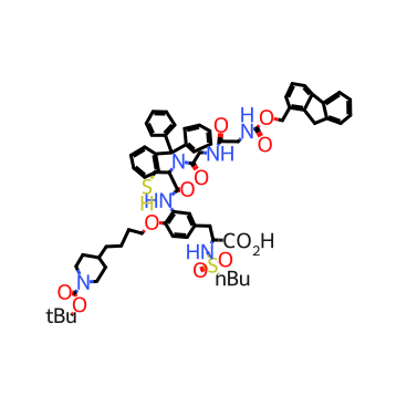 CCCCS(=O)(=O)NC(Cc1ccc(OCCCCC2CCN(C(=O)OC(C)(C)C)CC2)c(NC(=O)C(CS)N(C(=O)CNC(=O)CNC(=O)OCc2cccc3c2Cc2ccccc2-3)C(c2ccccc2)(c2ccccc2)c2ccccc2)c1)C(=O)O